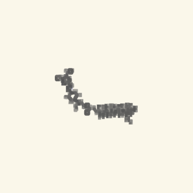 CCN(CCOC(=O)CCC(F)(F)C(F)(F)C(F)(F)C(F)(F)C(F)(F)C(F)(F)C(F)(F)C(F)(P)C(F)(F)F)c1ccc(/N=N/c2nc(Cl)c(C=O)s2)cc1